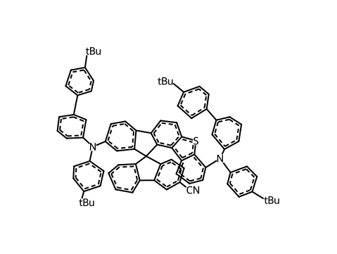 CC(C)(C)c1ccc(-c2cccc(N(c3ccc(C(C)(C)C)cc3)c3ccc4c(c3)C3(c5ccccc5-c5cc(C#N)ccc53)c3c-4ccc4sc5c(N(c6ccc(C(C)(C)C)cc6)c6cccc(-c7ccc(C(C)(C)C)cc7)c6)cccc5c34)c2)cc1